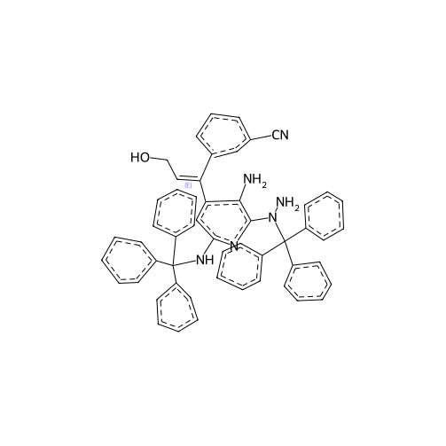 N#Cc1cccc(/C(=C\CO)c2cc(NC(c3ccccc3)(c3ccccc3)c3ccccc3)nc(N(N)C(c3ccccc3)(c3ccccc3)c3ccccc3)c2N)c1